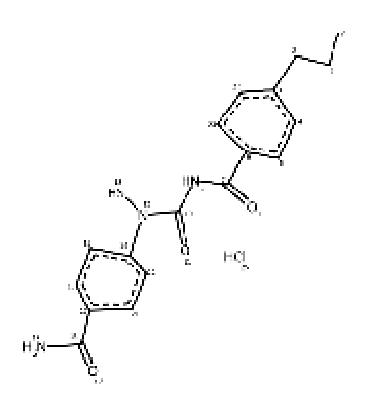 CCCc1ccc(C(=O)NC(=O)N(S)c2ccc(C(N)=O)cc2)cc1.Cl